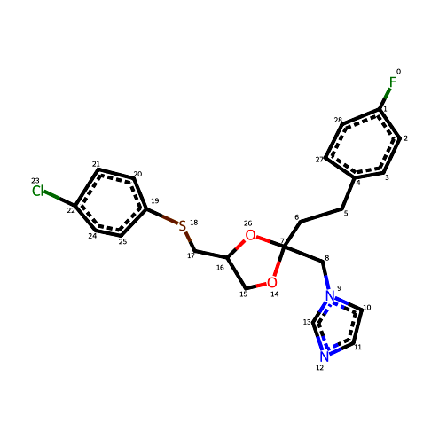 Fc1ccc(CCC2(Cn3ccnc3)OCC(CSc3ccc(Cl)cc3)O2)cc1